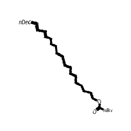 CCCCCCCCCCCCCCCCCCCCCCCCCCCCOC(=O)CCCC